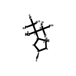 OC([C@@H]1C[C@@H](F)CN1)(C(F)(F)F)C(F)(F)F